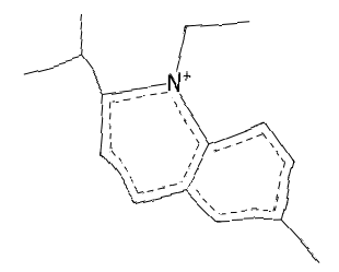 CC[n+]1c(C(C)C)ccc2cc(C)ccc21